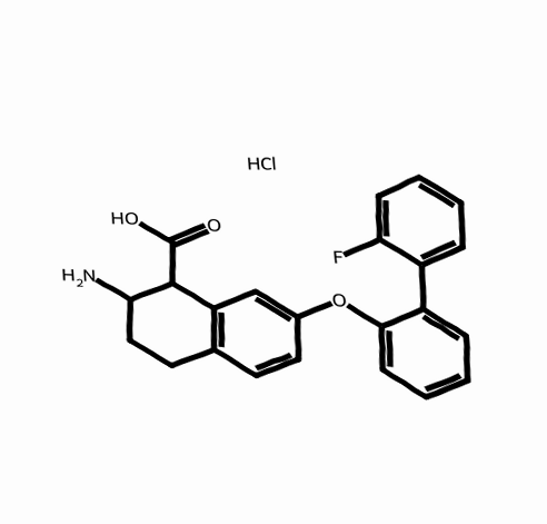 Cl.NC1CCc2ccc(Oc3ccccc3-c3ccccc3F)cc2C1C(=O)O